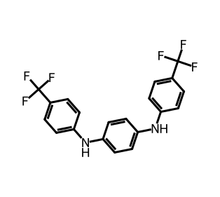 FC(F)(F)c1ccc(Nc2ccc(Nc3ccc(C(F)(F)F)cc3)cc2)cc1